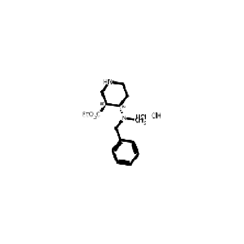 CCOC(=O)[C@H]1CNCC[C@@H]1N(C)Cc1ccccc1.Cl.Cl